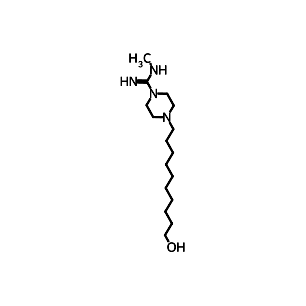 CNC(=N)N1CCN(CCCCCCCCCCO)CC1